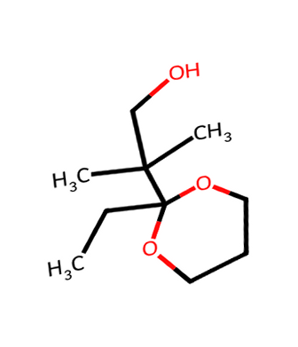 CCC1(C(C)(C)CO)OCCCO1